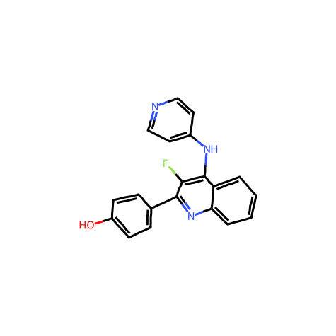 Oc1ccc(-c2nc3ccccc3c(Nc3ccncc3)c2F)cc1